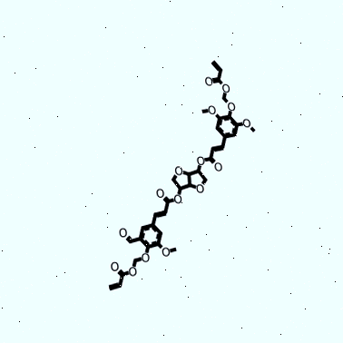 C=CC(=O)OCOc1c(C=O)cc(/C=C/C(=O)OC2COC3C(OC(=O)/C=C/c4cc(OC)c(OCOC(=O)C=C)c(OC)c4)COC23)cc1OC